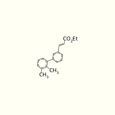 CCOC(=O)C=Cc1cccc(-c2cccc(C)c2C)c1